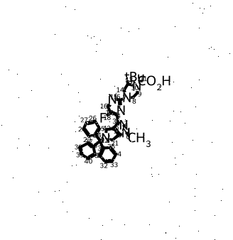 Cn1nc(-c2nc(N3CCN(C(=O)O)C(C(C)(C)C)C3)ncc2F)c2c1CN(C(c1ccccc1)(c1ccccc1)c1ccccc1)C2